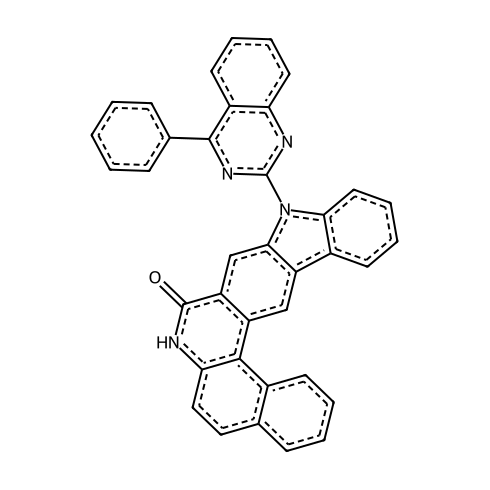 O=c1[nH]c2ccc3ccccc3c2c2cc3c4ccccc4n(-c4nc(-c5ccccc5)c5ccccc5n4)c3cc12